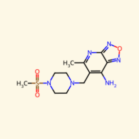 Cc1nc2nonc2c(N)c1CN1CCN(S(C)(=O)=O)CC1